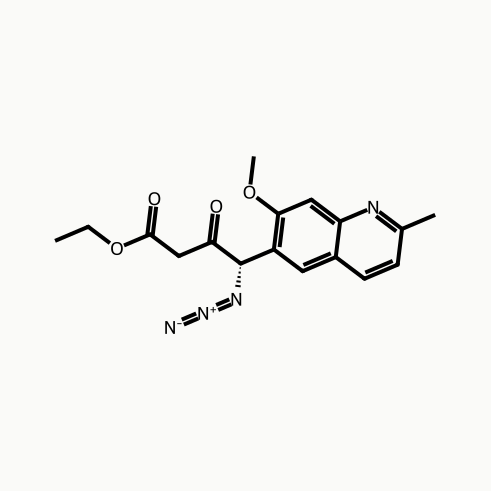 CCOC(=O)CC(=O)[C@@H](N=[N+]=[N-])c1cc2ccc(C)nc2cc1OC